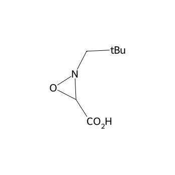 CC(C)(C)CN1OC1C(=O)O